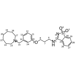 O=S1(=O)N=C(NCCCOc2cccc(CN3CCCCCCC3)c2)c2ccccc21